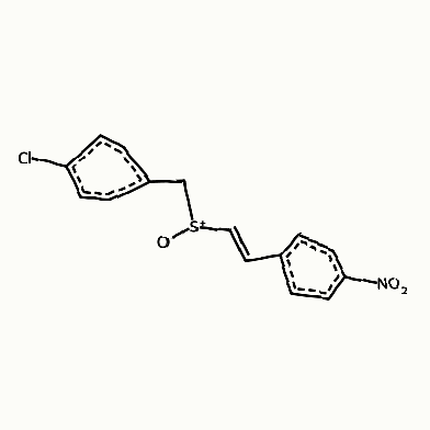 O=[N+]([O-])c1ccc(C=C[S+]([O-])Cc2ccc(Cl)cc2)cc1